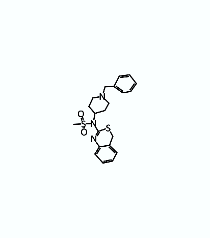 CS(=O)(=O)N(C1=Nc2ccccc2CS1)C1CCN(Cc2ccccc2)CC1